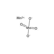 [Mn+2].[O]=[Mo](=[O])([O-])[O-]